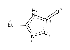 [CH2]Cc1noc(=O)[nH]1